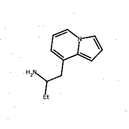 CCC(N)Cc1cccn2cccc12